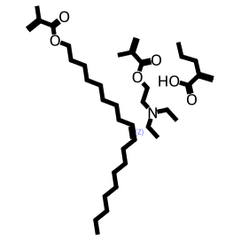 C=C(C)C(=O)OCCCCCCCC/C=C\CCCCCCCC.C=C(C)C(=O)OCCN(CC)CC.C=C(CCC)C(=O)O